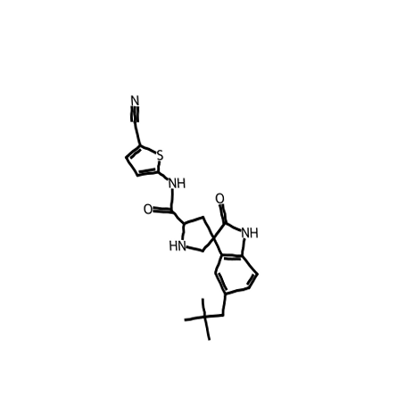 CC(C)(C)Cc1ccc2c(c1)C1(CNC(C(=O)Nc3ccc(C#N)s3)C1)C(=O)N2